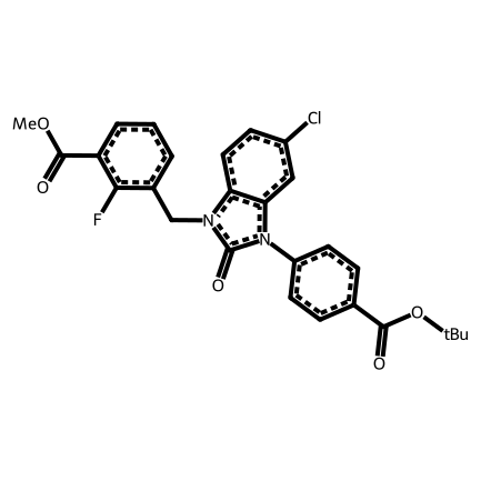 COC(=O)c1cccc(Cn2c(=O)n(-c3ccc(C(=O)OC(C)(C)C)cc3)c3cc(Cl)ccc32)c1F